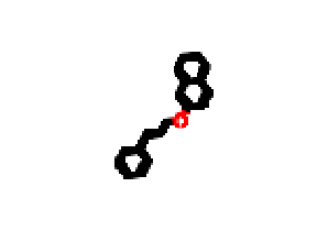 [c]1cc2ccccc2cc1OC/C=C/c1ccccc1